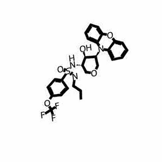 CCCN=S(=O)(N[C@H]1COC[C@H](N2c3ccccc3Oc3ccccc32)[C@@H]1O)c1ccc(OC(F)(F)F)cc1